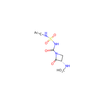 CC(=O)CNS(=O)(=O)NC(=O)N1C[C@H](NC(=O)O)C1=O